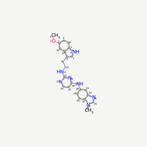 COc1ccc2[nH]cc(CCNc3nccc(Nc4ccc5c(c4)ncn5C)n3)c2c1